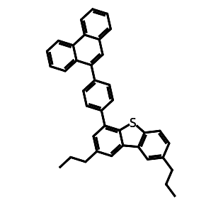 CCCc1ccc2sc3c(-c4ccc(-c5cc6ccccc6c6ccccc56)cc4)cc(CCC)cc3c2c1